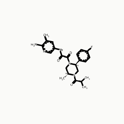 Cc1cc(NC(=O)C(=O)N2C[C@@H](C)N(C(=O)C(C)C)C[C@@H]2c2ccc(F)cc2)cnc1N